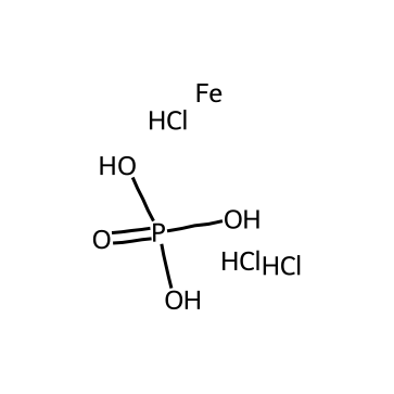 Cl.Cl.Cl.O=P(O)(O)O.[Fe]